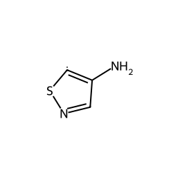 Nc1[c]snc1